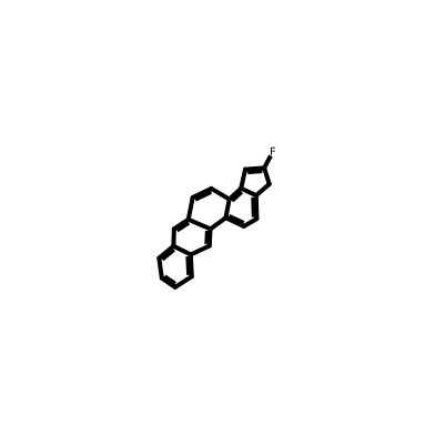 FC1=Cc2c(ccc3c2ccc2cc4ccccc4cc23)C1